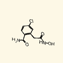 NC(=O)c1ccc(Cl)cc1CC(=O)NO